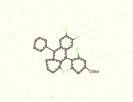 COc1cc(F)c(-c2c3cc(F)c(F)cc3c(-c3ccccc3)c3cccc(F)c23)c(F)c1